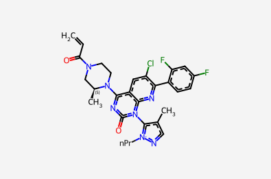 C=CC(=O)N1CCN(c2nc(=O)n(-c3c(C)cnn3CCC)c3nc(-c4ccc(F)cc4F)c(Cl)cc23)[C@@H](C)C1